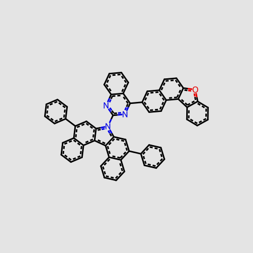 c1ccc(-c2cc3c(c4ccccc24)c2c4ccccc4c(-c4ccccc4)cc2n3-c2nc(-c3ccc4c(ccc5oc6ccccc6c54)c3)c3ccccc3n2)cc1